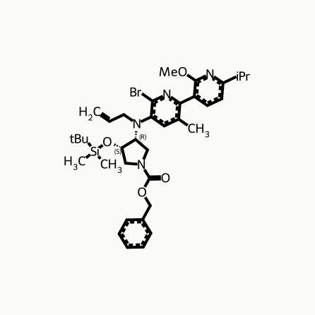 C=CCN(c1cc(C)c(-c2ccc(C(C)C)nc2OC)nc1Br)[C@@H]1CN(C(=O)OCc2ccccc2)C[C@@H]1O[Si](C)(C)C(C)(C)C